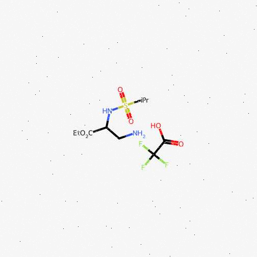 CCOC(=O)C(CN)NS(=O)(=O)C(C)C.O=C(O)C(F)(F)F